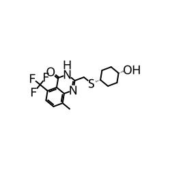 Cc1ccc(C(F)(F)F)c2c(=O)[nH]c(CS[C@H]3CC[C@@H](O)CC3)nc12